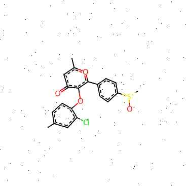 Cc1ccc(Oc2c(-c3ccc([S+](C)[O-])cc3)oc(C)cc2=O)c(Cl)c1